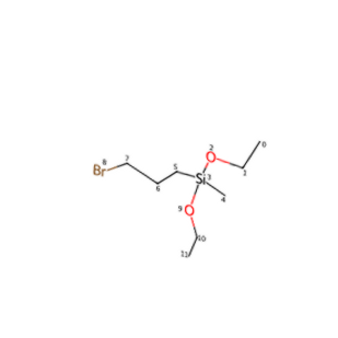 CCO[Si](C)(CCCBr)OCC